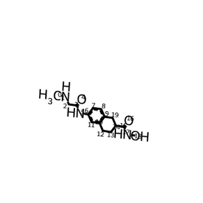 CNCC(=O)Nc1ccc2c(c1)CCC(C(=O)NO)C2